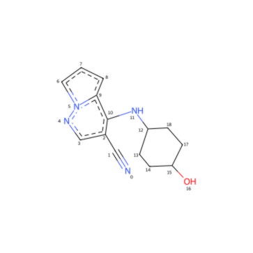 N#Cc1cnn2cccc2c1NC1CCC(O)CC1